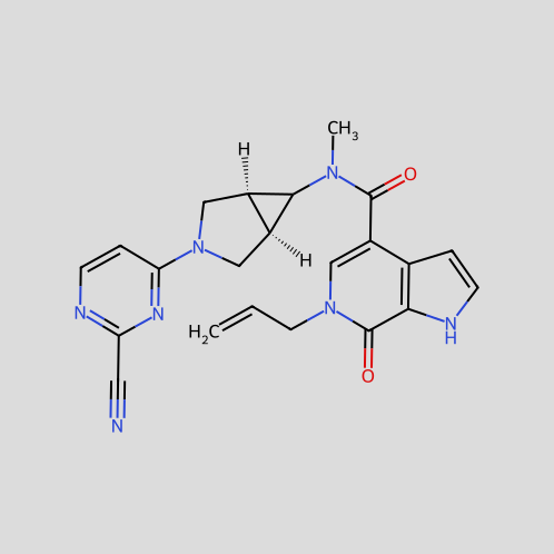 C=CCn1cc(C(=O)N(C)C2[C@H]3CN(c4ccnc(C#N)n4)C[C@@H]23)c2cc[nH]c2c1=O